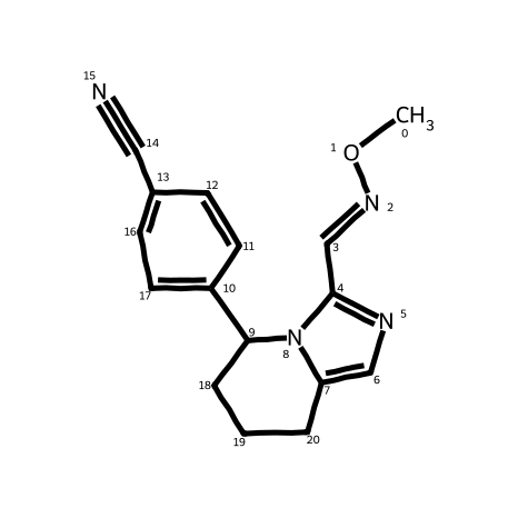 CO/N=C/c1ncc2n1C(c1ccc(C#N)cc1)CCC2